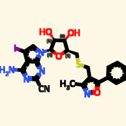 Cc1noc(-c2ccccc2)c1CSC[C@H]1O[C@@H](n2cc(I)c3c(N)nc(C#N)nc32)[C@H](O)[C@@H]1O